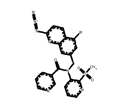 CS(=O)(=O)c1ncccc1N(Cc1cc(Br)c2ccc(N=[N+]=[N-])nc2c1)C(=O)c1cccnc1